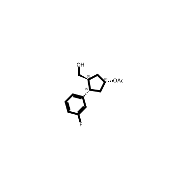 CC(=O)O[C@H]1C[C@H](CO)[C@@H](c2cccc(F)c2)C1